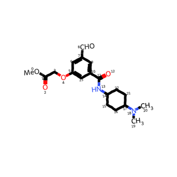 COC(=O)COc1cc(C=O)cc(C(=O)NC2CCC(N(C)C)CC2)c1